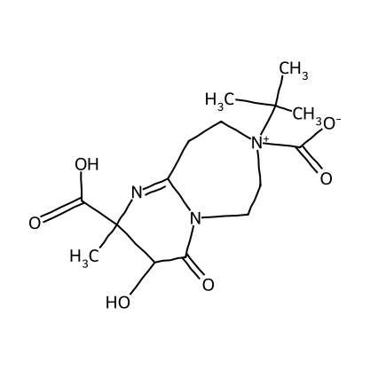 CC1(C(=O)O)N=C2CC[N+](C(=O)[O-])(C(C)(C)C)CCN2C(=O)C1O